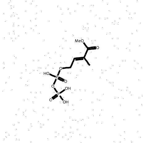 COC(=O)C(C)=CCOP(=O)(O)OP(=O)(O)O